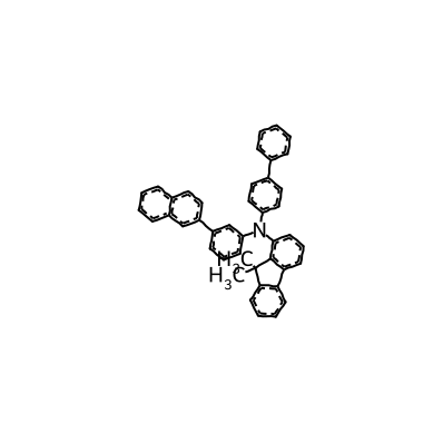 CC1(C)c2ccccc2-c2cccc(N(c3ccc(-c4ccccc4)cc3)c3cccc(-c4ccc5ccccc5c4)c3)c21